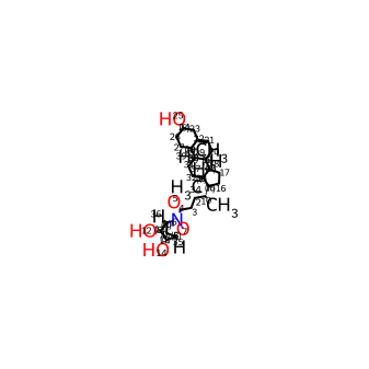 CC(CCC(=O)N1O[C@H]2C[C@@H]1[C@H](O)[C@@H]2O)[C@H]1CC[C@H]2[C@@H]3CC=C4C[C@@H](O)CC[C@]4(C)[C@H]3CC[C@]12C